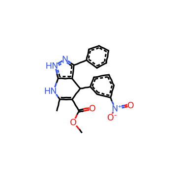 COC(=O)C1=C(C)Nc2[nH]nc(-c3ccccc3)c2C1c1cccc([N+](=O)[O-])c1